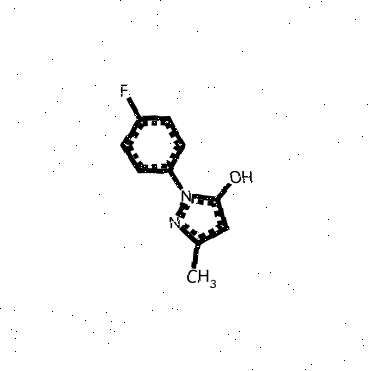 Cc1cc(O)n(-c2ccc(F)cc2)n1